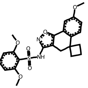 COc1ccc2c(c1)-c1onc(NS(=O)(=O)c3c(OC)cccc3OC)c1CC21CCC1